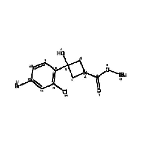 CC(C)(C)OC(=O)N1CC(O)(c2ccc(Br)cc2Cl)C1